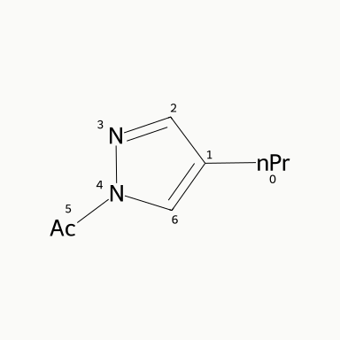 CCCc1cnn(C(C)=O)c1